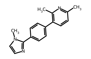 Cc1ccc(-c2ccc(-c3nccn3C)cc2)c(C)n1